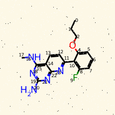 CCCOc1cccc(F)c1-c1ccc2c(NC)nc(N)nc2n1